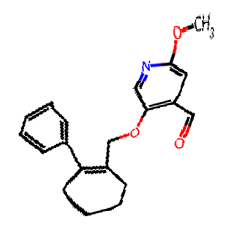 COc1cc(C=O)c(OCC2=C(c3ccccc3)CCCC2)cn1